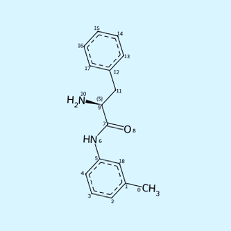 Cc1cccc(NC(=O)[C@@H](N)Cc2ccccc2)c1